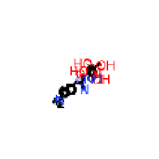 CCN(CC)c1ccc2cc(/C=C(\C#N)C(=O)N[C@H]3C(O)O[C@H](CO)[C@@H](O)[C@@H]3O)ccc2c1